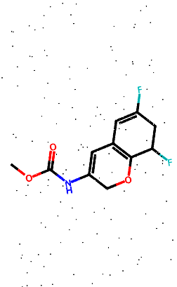 COC(=O)NC1=CC2=C(OC1)C(F)CC(F)=C2